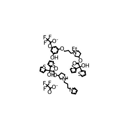 CC[N+]1(CCCOc2cccc(O)c2)CCC(OC(=O)C(O)(c2cccs2)c2cccs2)C1.C[N+]1(CCCn2cccc2)CCC(OC(=O)C(O)(c2cccs2)c2cccs2)C1.O=C([O-])C(F)(F)F.O=C([O-])C(F)(F)F